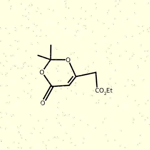 CCOC(=O)CC1=CC(=O)OC(C)(C)O1